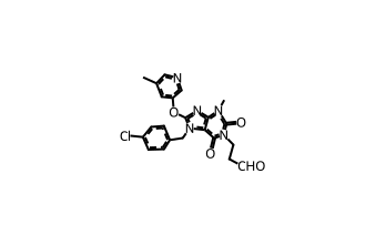 Cc1cncc(Oc2nc3c(c(=O)n(CCC=O)c(=O)n3C)n2Cc2ccc(Cl)cc2)c1